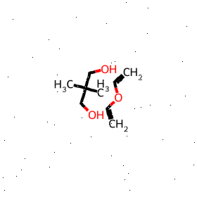 C=COC=C.CC(C)(CO)CO